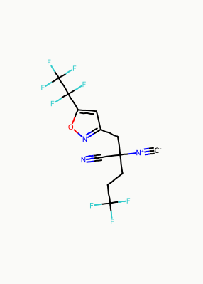 [C-]#[N+]C(C#N)(CCC(F)(F)F)Cc1cc(C(F)(F)C(F)(F)F)on1